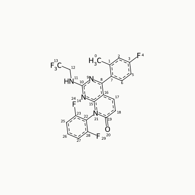 Cc1cc(F)ccc1-c1nc(NCC(F)(F)F)nc2c1ccc(=O)n2-c1c(F)cccc1F